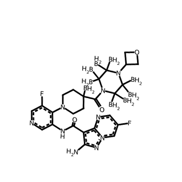 BC1(C(=O)N2C(B)(B)C(B)(B)N(C3COC3)C(B)(B)C2(B)B)CCN(c2c(F)cncc2NC(=O)c2c(N)nn3cc(F)cnc23)CC1